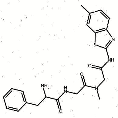 Cc1ccc2nc(NC(=O)CN(C)C(=O)CNC(=O)C(N)Cc3ccccc3)sc2c1